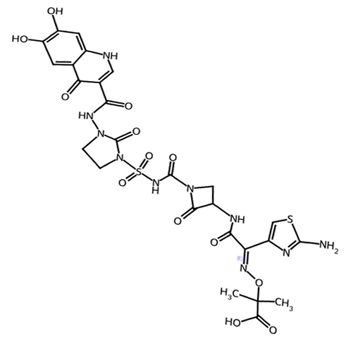 CC(C)(O/N=C(/C(=O)NC1CN(C(=O)NS(=O)(=O)N2CCN(NC(=O)c3c[nH]c4cc(O)c(O)cc4c3=O)C2=O)C1=O)c1csc(N)n1)C(=O)O